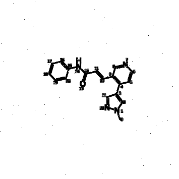 Cn1cc(-c2ccncc2C=CC(=O)Nc2ccccc2)cn1